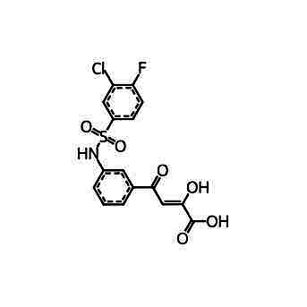 O=C(O)/C(O)=C/C(=O)c1cccc(NS(=O)(=O)c2ccc(F)c(Cl)c2)c1